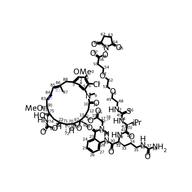 COc1cc2cc(c1Cl)N(C)C(=O)C[C@H](OC(=O)[C@H](C)N(C)C(=O)c1ccccc1NC(=O)[C@H](CCCNC(N)=O)NC(=O)[C@@H](NC(=S)NCCOCCOCCC(=O)ON1C(=O)CCC1=O)C(C)C)[C@]1(C)O[C@H]1[C@H](C)[C@@H]1C[C@@](O)(NC(=O)O1)[C@H](OC)/C=C/C=C(\C)C2